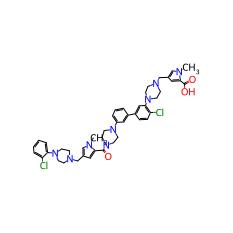 Cn1cc(CN2CCN(c3cc(-c4cccc(N5CCN(C(=O)c6cc(CN7CCN(c8ccccc8Cl)CC7)cn6C)CC5)c4)ccc3Cl)CC2)cc1C(=O)O